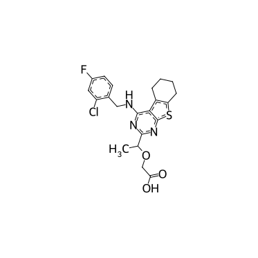 CC(OCC(=O)O)c1nc(NCc2ccc(F)cc2Cl)c2c3c(sc2n1)CCCC3